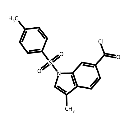 Cc1ccc(S(=O)(=O)n2cc(C)c3ccc(C(=O)Cl)cc32)cc1